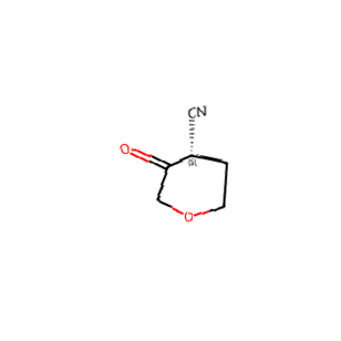 N#C[C@@H]1CCOCC1=O